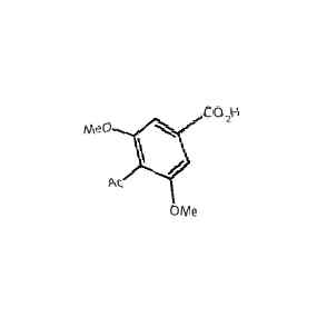 COc1cc(C(=O)O)cc(OC)c1C(C)=O